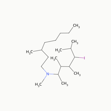 CCCCCC(C)CCN(C)C(C)C(C)C(C)C(I)C(C)C